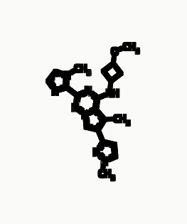 COC1CC(Nc2nc(-c3nccn3C)nn3cc(-c4ccn(C)n4)c(C)c23)C1